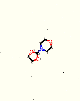 C1CN(C2OCCO2)CCO1